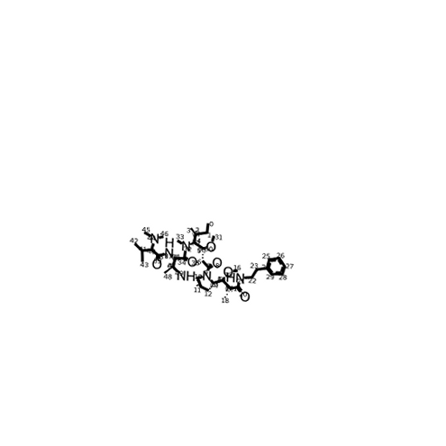 CC[C@H](C)[C@@H]([C@@H](CC(=O)N1CCC[C@H]1[C@H](OC)[C@@H](C)C(=O)NCCc1ccccc1)OC)N(C)C(=O)[C@@H](NC(=O)C(C(C)C)N(C)C)[C@H](C)N